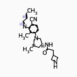 C/C=C/C=N\c1c(C#N)ccc(N2C[C@@H](C)C[C@@H](NC(=O)CC3CNC3)C2)c1C